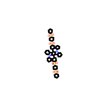 O=S(=O)(c1ccccc1)c1ccc(S(=O)(=O)c2ccc(-c3c4c5ccccc5n(-c5ccccc5)c4c(-c4ccc(S(=O)(=O)c5ccc(S(=O)(=O)c6ccccc6)cc5)cc4)c4c5ccccc5n(-c5ccccc5)c34)cc2)cc1